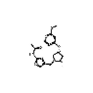 COc1cc(O[C@@H]2C[C@H](C)N(Cc3cnc(NC(C)=O)s3)C2)ncn1